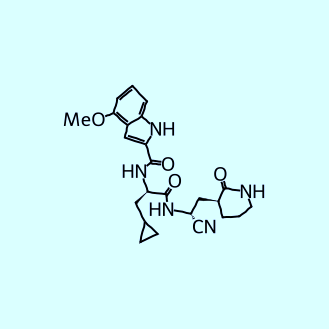 COc1cccc2[nH]c(C(=O)N[C@H](CC3CC3)C(=O)N[C@@H](C#N)C[C@@H]3CCCNC3=O)cc12